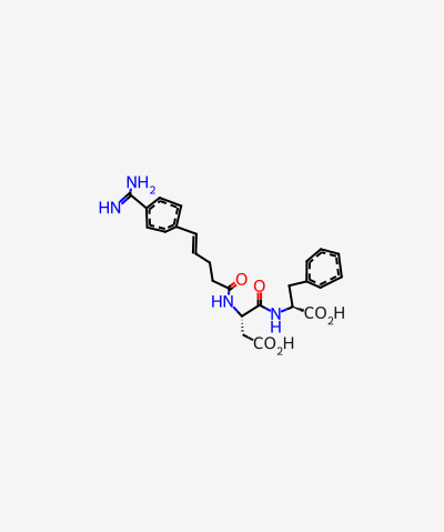 N=C(N)c1ccc(/C=C/CCC(=O)N[C@@H](CC(=O)O)C(=O)N[C@@H](Cc2ccccc2)C(=O)O)cc1